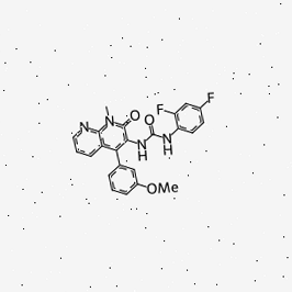 COc1cccc(-c2c(NC(=O)Nc3ccc(F)cc3F)c(=O)n(C)c3ncccc23)c1